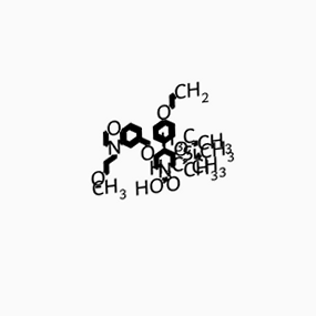 C=CCOc1ccc([C@@H]2[C@@H](OCc3ccc4c(c3)N(CCCOC)CCO4)CN(C(=O)O)C[C@H]2O[Si](C(C)C)(C(C)C)C(C)C)cc1